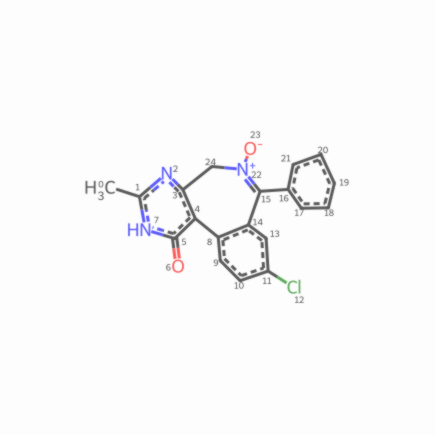 Cc1nc2c(c(=O)[nH]1)-c1ccc(Cl)cc1C(c1ccccc1)=[N+]([O-])C2